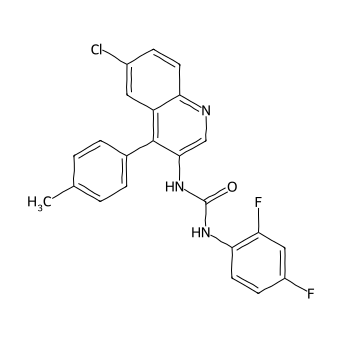 Cc1ccc(-c2c(NC(=O)Nc3ccc(F)cc3F)cnc3ccc(Cl)cc23)cc1